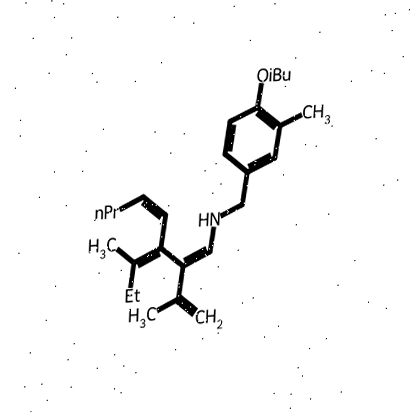 C=C(C)C(=C/NCc1ccc(OCC(C)C)c(C)c1)/C(/C=C\CCC)=C(/C)CC